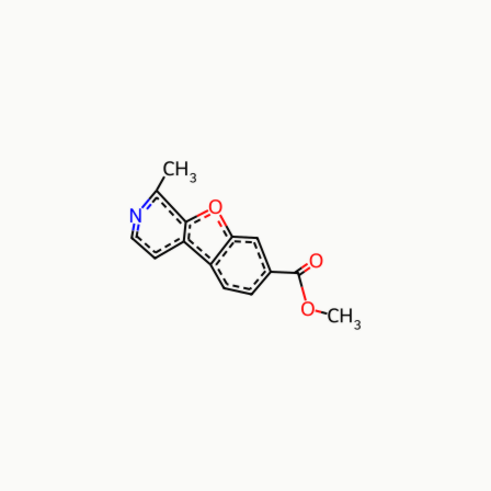 COC(=O)c1ccc2c(c1)oc1c(C)nccc12